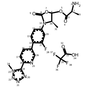 C[C@H](N)C(=O)OC1OC(=O)N(c2ccc(-c3ccc(-c4nnnn4C)nc3)c(F)c2)[C@@H]1C.O=C(O)C(F)(F)F